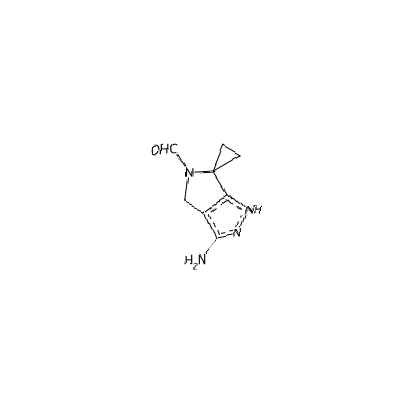 Nc1n[nH]c2c1CN(C=O)C21CC1